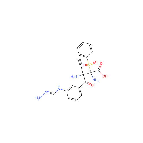 C#CC(N)(C(=O)c1cccc(NC=NN)c1)C(N)(C(=O)O)S(=O)(=O)c1ccccc1